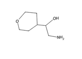 NCC(O)C1CCOCC1